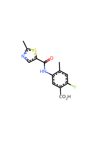 Cc1ncc(C(=O)Nc2cc(C(=O)O)c(F)cc2C)s1